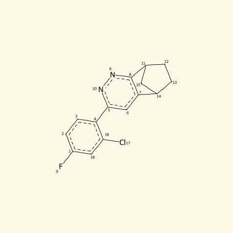 Fc1ccc(-c2cc3c(nn2)C2CCC3C2)c(Cl)c1